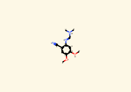 COc1cc(C#N)c(/N=C/N(C)C)cc1OC